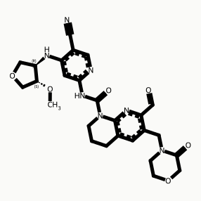 CO[C@@H]1COC[C@H]1Nc1cc(NC(=O)N2CCCc3cc(CN4CCOCC4=O)c(C=O)nc32)ncc1C#N